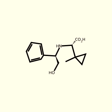 CC1([C@H](N[C@@H](CO)c2ccccc2)C(=O)O)CC1